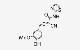 COc1cc(C=C=C(C#N)C(=O)Nc2nccs2)ccc1O